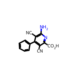 N#Cc1c(N)nc(C(=O)O)c(C#N)c1-c1ccccc1